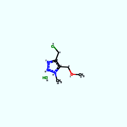 COCc1c(CCl)nnn1C.Cl